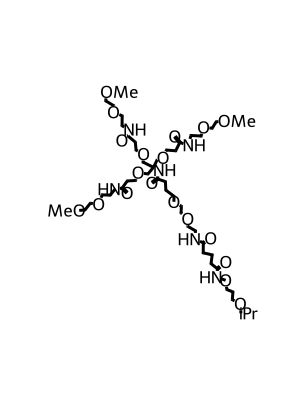 COCCOCCNC(=O)CCOCC(COCCC(=O)NCCOCCOC)(COCCC(=O)NCCOCCOC)NC(=O)CCCOCCOCCNC(=O)CCCC(=O)NOCCCOC(C)C